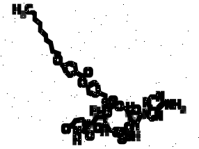 CCCCCCCCCCOc1ccc(C(=O)Oc2ccc(CSP3(=O)OC[C@H]4O[C@@H](n5cnc6c(N)ncnc65)C[C@@H]4OP(=O)(O)OC[C@H]4O[C@@H](n5ccc(=O)[nH]c5=O)[C@H](F)[C@@H]4O3)cc2)cc1